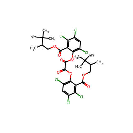 CCCC(C)(C)C(C)COC(=O)c1c(Cl)c(Cl)cc(Cl)c1OC(=O)C(=O)Oc1c(Cl)cc(Cl)c(Cl)c1C(=O)OCC(C)C(C)(C)CCC